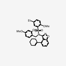 CCc1ccc(OC)c(S(=O)(=O)N(Cc2ccc(OC)cc2OC)c2noc3cccc(C4=CCCCC4)c23)c1